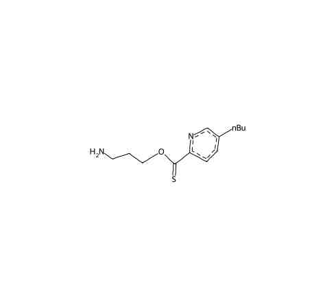 CCCCc1ccc(C(=S)OCCCN)nc1